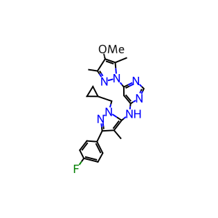 COc1c(C)nn(-c2cc(Nc3c(C)c(-c4ccc(F)cc4)nn3CC3CC3)ncn2)c1C